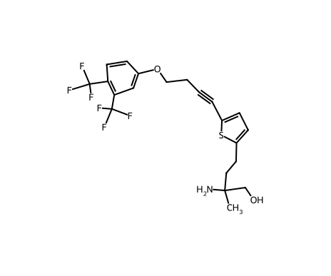 CC(N)(CO)CCc1ccc(C#CCCOc2ccc(C(F)(F)F)c(C(F)(F)F)c2)s1